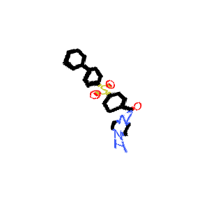 O=C(C1CCC(S(=O)(=O)c2ccc(C3CCCCC3)cc2)CC1)N1CCNCC1